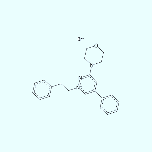 [Br-].c1ccc(CC[n+]2cc(-c3ccccc3)cc(N3CCOCC3)n2)cc1